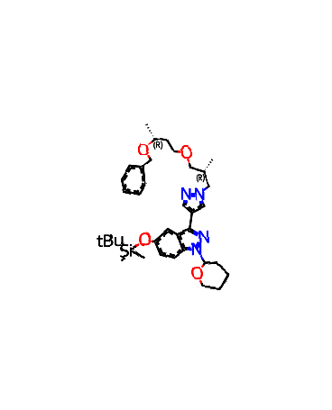 C[C@@H](COCC[C@@H](C)OCc1ccccc1)Cn1cc(-c2nn(C3CCCCO3)c3ccc(O[Si](C)(C)C(C)(C)C)cc23)cn1